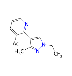 CC(=O)c1cccnc1-c1cn(CC(F)(F)F)nc1C